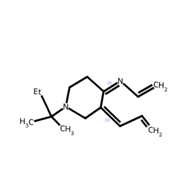 C=C/C=C1/CN(C(C)(C)CC)CC/C1=N/C=C